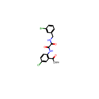 COC(=O)c1cc(Cl)ccc1NC(=O)C(=O)NCc1cccc(Br)c1